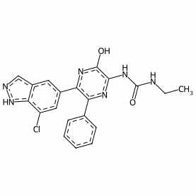 CCNC(=O)Nc1nc(-c2ccccc2)c(-c2cc(Cl)c3[nH]ncc3c2)nc1O